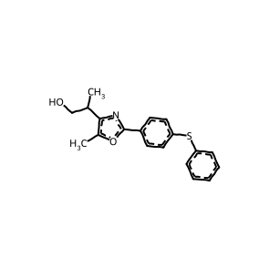 Cc1oc(-c2ccc(Sc3ccccc3)cc2)nc1C(C)CO